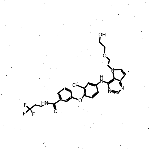 O=C(NCCC(F)(F)F)c1cccc(Oc2ccc(Nc3ncnc4ccn(CCOCCO)c34)cc2Cl)c1